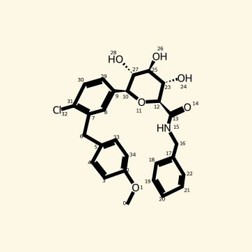 COc1ccc(Cc2cc([C@@H]3O[C@H](C(=O)NCc4ccccc4)[C@@H](O)[C@H](O)[C@H]3O)ccc2Cl)cc1